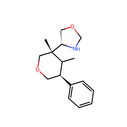 CC1[C@@H](c2ccccc2)COC[C@]1(C)[C@@H]1COCN1